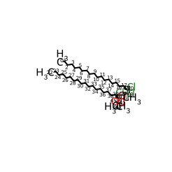 CCCCCCCCCCCCCCCCCC[Si](Cl)(Cl)Cl.CCCCCCCCCCCCCCCCCC[Si](OC)(OC)OC